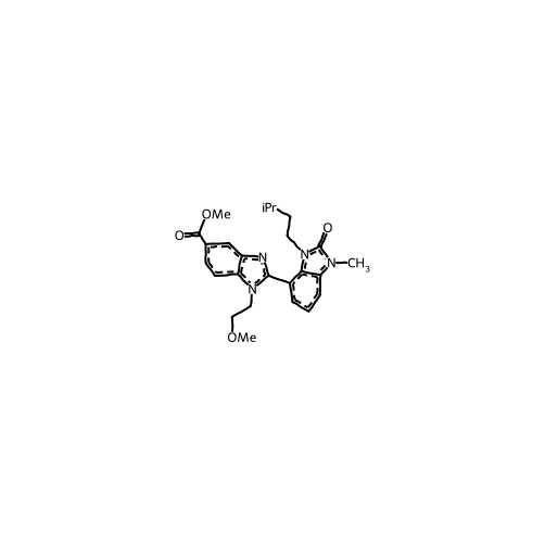 COCCn1c(-c2cccc3c2n(CCC(C)C)c(=O)n3C)nc2cc(C(=O)OC)ccc21